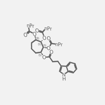 CCCC(=O)O[C@@H]1[C@@H](OC(=O)CCC)[C@H](OC(=O)CCC)CCC[C@@H]1OC(=O)CCc1c[nH]c2ccccc12